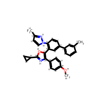 Cc1cccc(-c2ccc(-n3ccc(C(F)(F)F)n3)c(-c3oc(C4CC4)nc3-c3ccc(OC(F)(F)F)cc3)c2)c1